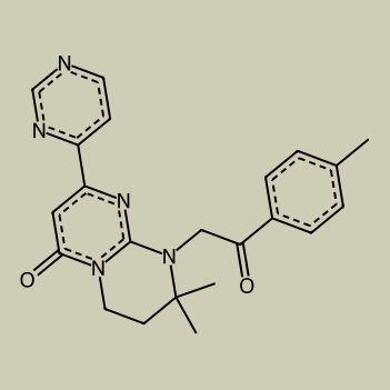 Cc1ccc(C(=O)CN2c3nc(-c4ccncn4)cc(=O)n3CCC2(C)C)cc1